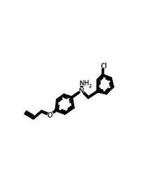 C=CCOc1ccc(N(N)Cc2cccc(Cl)c2)cc1